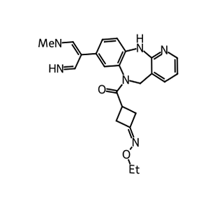 CCON=C1CC(C(=O)N2Cc3cccnc3Nc3ccc(/C(C=N)=C/NC)cc32)C1